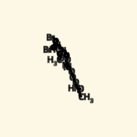 CCCCC(=O)NCCOCCOCCOCCn1cc(COc2ccc(CN(CC(O)Cn3c4ccc(Br)cc4c4cc(Br)ccc43)c3cccc(OC)c3)cc2)nn1